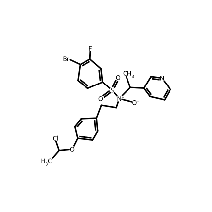 CC(Cl)Oc1ccc(CC[N+]([O-])(C(C)c2cccnc2)S(=O)(=O)c2ccc(Br)c(F)c2)cc1